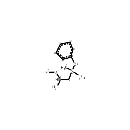 CC(C)O[SiH](C)C[Si](C)(C)Oc1ccccc1